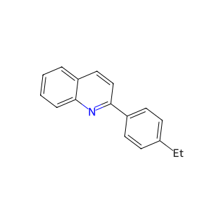 CCc1ccc(-c2ccc3ccccc3n2)cc1